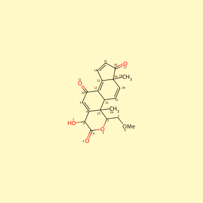 COCC1OC(=O)C(O)C2=CC(=O)C3=C4C=CC(=O)C4(C)C=CC3C21C